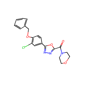 O=C(c1nnc(-c2ccc(OCc3ccccc3)c(Cl)c2)o1)N1CCOCC1